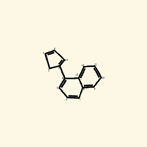 C1=CCC(c2cccc3ccccc23)=C1